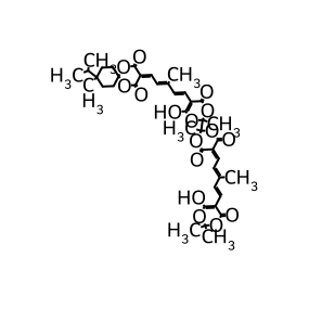 CC(/C=C/C1=C(O)OC(C)(C)OC1=O)=C\C=C1C(=O)OC(C)(C2(C)OC(=O)C(/C=C/C(C)=C/C=C3C(=O)OC4(CCC(C)(C(C)C)CC4)OC3=O)=C(O)O2)OC1=O